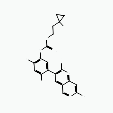 Cc1cc(F)c(NC(=O)NCCC2(C(F)(F)F)CC2)cc1-c1cc2cnc(N)cc2nc1C